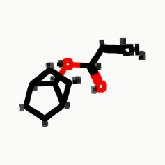 C=CC(=O)OC1C2CCC1CC2